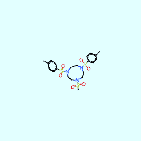 Cc1ccc(S(=O)(=O)N2CCN(S(C)(=O)=O)CCN(S(=O)(=O)c3ccc(C)cc3)CC2)cc1